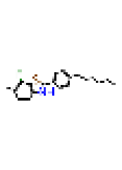 CCCCCCc1ccc(C2Nc3ccc(C)c(F)c3S2)cc1